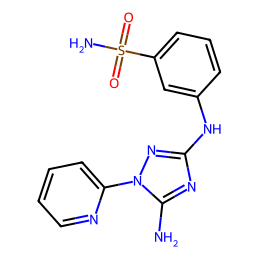 Nc1nc(Nc2cccc(S(N)(=O)=O)c2)nn1-c1ccccn1